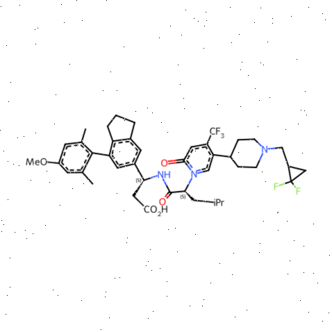 COc1cc(C)c(-c2cc([C@H](CC(=O)O)NC(=O)[C@H](CC(C)C)n3cc(C4CCN(CC5CC5(F)F)CC4)c(C(F)(F)F)cc3=O)cc3c2CCC3)c(C)c1